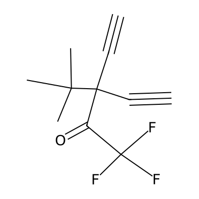 C#CC(C#C)(C(=O)C(F)(F)F)C(C)(C)C